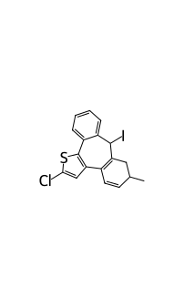 CC1C=CC2=C(C1)C(I)c1ccccc1-c1sc(Cl)cc12